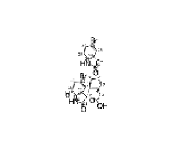 O=C(O)Cc1ccccc1.O=C1Cc2cc(Br)ccc2N1.O=c1[cH-]c2cc(Br)ccc2[nH]1.[H+]